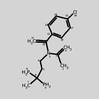 C=C(C)N(CCC(C)(P)P)C(=C)c1ccc(Cl)cc1